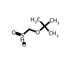 CC(C)(C)OC[SH](=O)=O